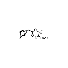 COC(=O)[C@@H](C)OC(=O)C[n+]1ccn(C)c1